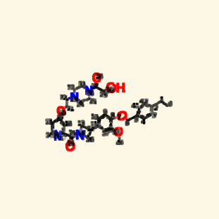 CCc1ccc(COc2ccc(C3CN(C(=O)c4cc(OCCN5CCN(C(=O)CO)CC5)ccn4)C3)cc2OC)cc1